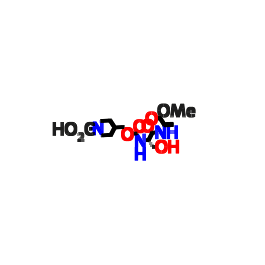 C=C(NC(=O)[C@H](CO)NC(=O)OCC1CCN(C(=O)O)CC1)C(=O)OC